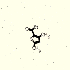 CCC(=O)c1sc(C)cc1C